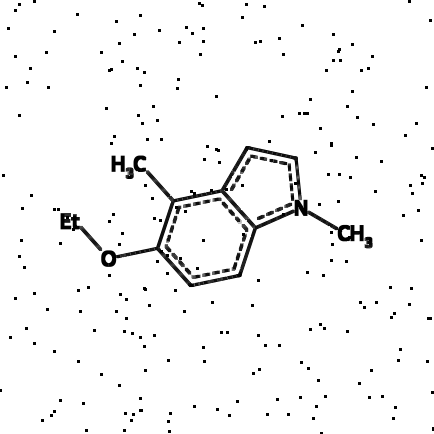 CCOc1ccc2c(ccn2C)c1C